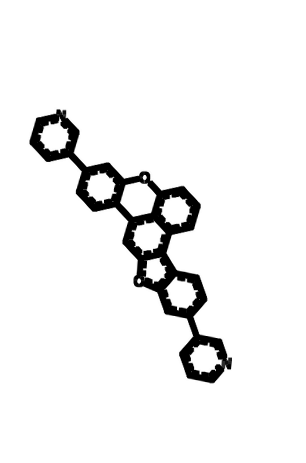 c1cncc(-c2ccc3c(c2)Oc2cccc4c2c-3cc2oc3cc(-c5cccnc5)ccc3c24)c1